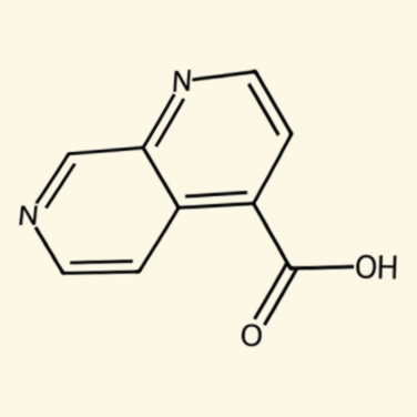 O=C(O)c1ccnc2cnccc12